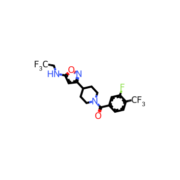 O=C(c1ccc(C(F)(F)F)c(F)c1)N1CCC(c2cc(NCC(F)(F)F)on2)CC1